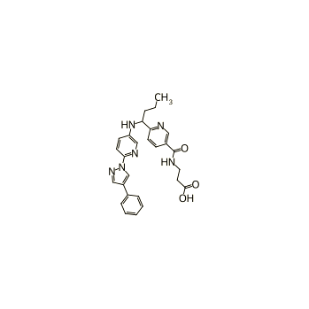 CCCC(Nc1ccc(-n2cc(-c3ccccc3)cn2)nc1)c1ccc(C(=O)NCCC(=O)O)cn1